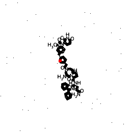 Cn1c(=O)n(C2CCC(=O)NC2=O)c2ccc(C[C@H]3CC[C@H](CC(=O)N4CC[C@H]5CC[C@@H](C(=O)N[C@@H](CCC(N)=O)C(=O)NC(c6ccccc6)c6ccccc6)N5C(=O)[C@@H](N)C4)CC3)cc21